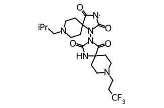 CC(C)CN1CCC2(CC1)C(=O)[N]C(=O)N2N1C(=O)NC2(CCN(CCC(F)(F)F)CC2)C1=O